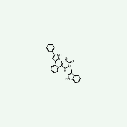 NC(=O)[C@H](Cc1c[nH]c2ccccc12)NC(=O)c1ccccc1-c1cc(-c2ccccc2)[nH]n1